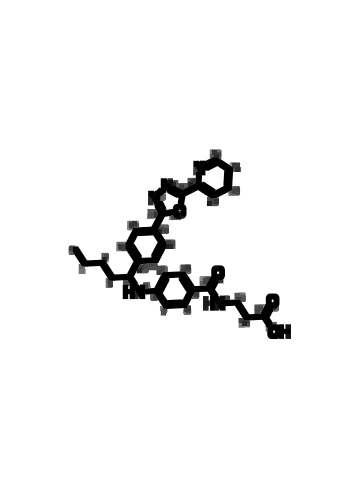 CCCCC(Nc1ccc(C(=O)NCCC(=O)O)cc1)c1ccc(-c2nnc(-c3ccccn3)o2)cc1